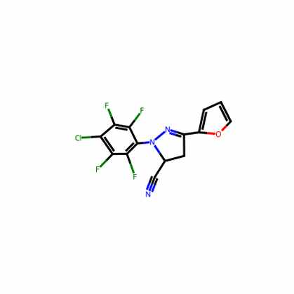 N#CC1CC(c2ccco2)=NN1c1c(F)c(F)c(Cl)c(F)c1F